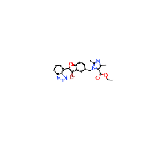 CCOC(=O)c1c(C)nc(C)n1Cc1ccc2oc(-c3ccccc3N)c(Br)c2c1